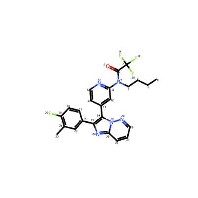 CCCCN(C(=O)C(F)(F)F)c1cc(-c2c(-c3ccc(F)c(C)c3)nc3cccnn23)ccn1